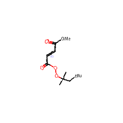 COC(=O)/C=C/C(=O)OOC(C)(C)CC(C)(C)C